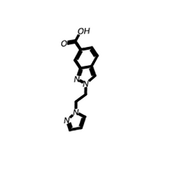 O=C(O)c1ccc2cn(CCn3cccn3)nc2c1